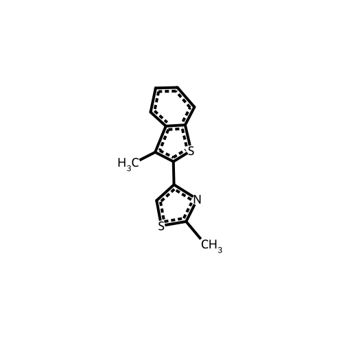 Cc1nc(-c2sc3ccccc3c2C)cs1